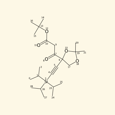 CC(C)[Si](C#CC1(C(=O)CC(=O)OC(C)(C)C)COC(C)(C)O1)(C(C)C)C(C)C